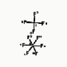 FC(F)(F)F.FS(F)(F)(F)(F)F